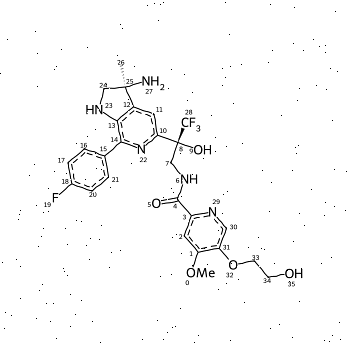 COc1cc(C(=O)NC[C@@](O)(c2cc3c(c(-c4ccc(F)cc4)n2)NC[C@@]3(C)N)C(F)(F)F)ncc1OCCO